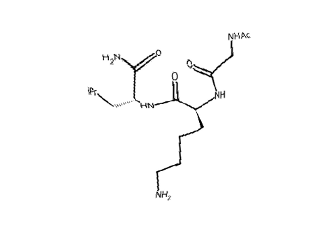 CC(=O)NCC(=O)N[C@@H](CCCCN)C(=O)N[C@H](CC(C)C)C(N)=O